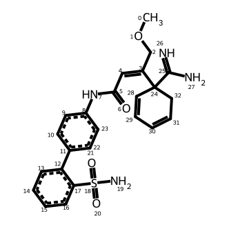 COC/C(=C/C(=O)Nc1ccc(-c2ccccc2S(N)(=O)=O)cc1)C1(C(=N)N)C=CC=CC1